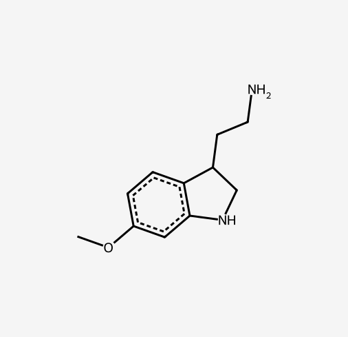 COc1ccc2c(c1)NCC2CCN